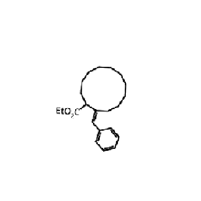 CCOC(=O)C1CCCCCCCCCCC1=Cc1ccccc1